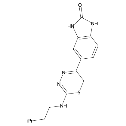 CC(C)CCNC1=NN=C(c2ccc3[nH]c(=O)[nH]c3c2)CS1